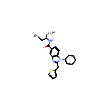 CC(C)C[C@H](NC(=O)c1ccc2c(c1)nc(Cc1cccs1)n2[C@H]1CCCC[C@H]1C)C(=O)O